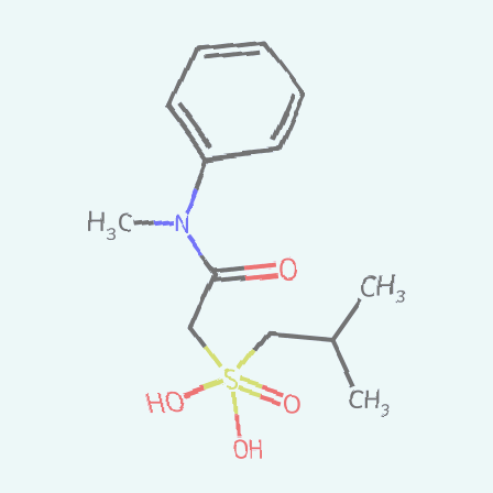 CC(C)CS(=O)(O)(O)CC(=O)N(C)c1ccccc1